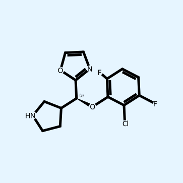 Fc1ccc(F)c(O[C@H](c2ncco2)C2CCNC2)c1Cl